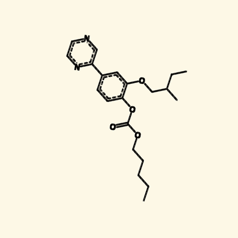 CCCCCOC(=O)Oc1ccc(-c2cnccn2)cc1OCC(C)CC